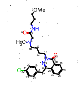 COCCCNC(=O)CN(C)CCCCn1nc(Cc2ccc(Cl)cc2)c2ccccc2c1=O